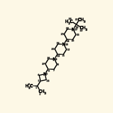 CC(C)C1CN(C2CCN(C3CCN(C4CCN(C(C)(C)C)CC4)CC3)CC2)C1